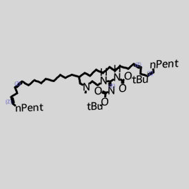 CCCCC/C=C\C/C=C\CCCCCCCCC(CCCCCCCC/C=C\C/C=C\CCCCC)CN(C)CCN/C(=N\C(=O)OC(C)(C)C)NC(=O)OC(C)(C)C